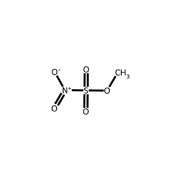 COS(=O)(=O)[N+](=O)[O-]